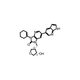 O=c1n(C[C@H]2COC[C@H]2O)c2cc(-c3cnc4[nH]ccc4c3)cnc2n1C1=CCCCC1